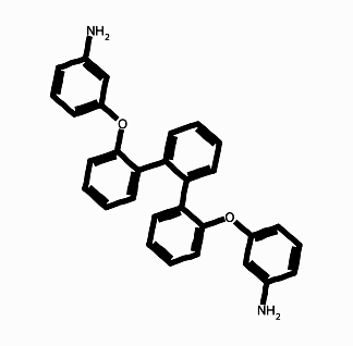 Nc1cccc(Oc2ccccc2-c2ccccc2-c2ccccc2Oc2cccc(N)c2)c1